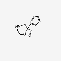 O=CC1(c2ccccc2)CNCCO1